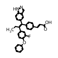 CC/C(=C(/c1ccc(/C=C/C(=O)O)cc1)c1ccc2[nH]ncc2c1)c1ccc(Oc2ccccc2)c(F)c1